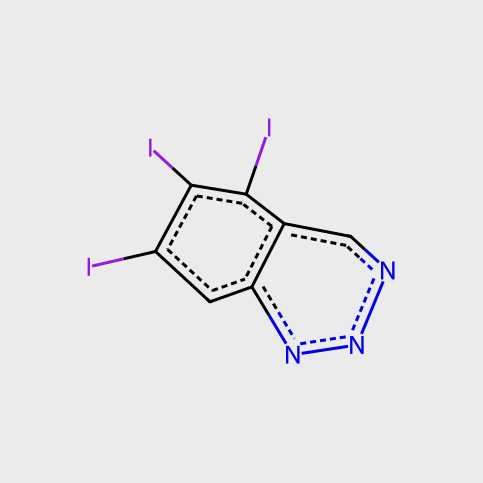 Ic1cc2nnncc2c(I)c1I